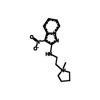 C[N+]1(CCNc2nn3ccccc3c2[N+](=O)[O-])CCCC1